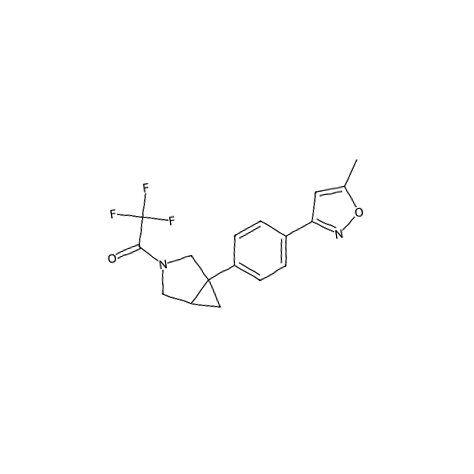 Cc1cc(-c2ccc(C34CC3CN(C(=O)C(F)(F)F)C4)cc2)no1